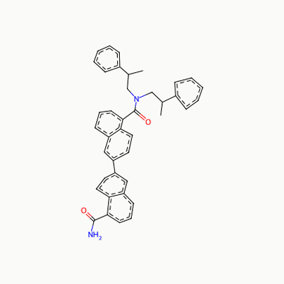 CC(CN(CC(C)c1ccccc1)C(=O)c1cccc2cc(-c3ccc4c(C(N)=O)cccc4c3)ccc12)c1ccccc1